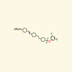 CCCCCCCCCC1CCC(/C=C/C2CCC(CCC3CCC(C(F)(F)Oc4cc(F)cc(F)c4)CC3)CC2)CC1